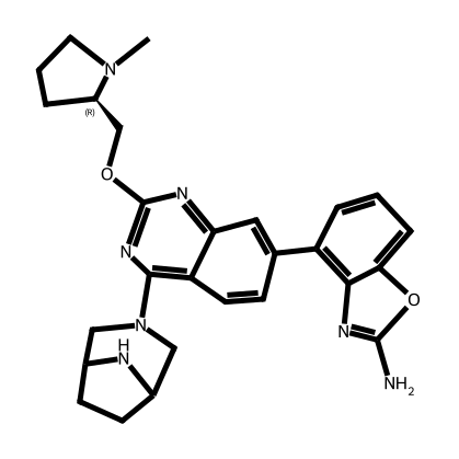 CN1CCC[C@@H]1COc1nc(N2CC3CCC(C2)N3)c2ccc(-c3cccc4oc(N)nc34)cc2n1